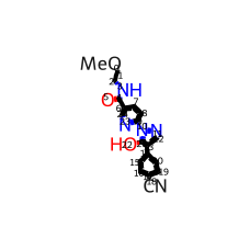 COCCNC(=O)c1ccc(-n2ncc(-c3ccc(C#N)cc3)c2O)nc1